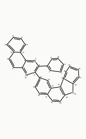 c1ccc(-c2nc3c(ccc4ccccc43)nc2-c2ccc3ccc4sc5ccccc5c4c3c2)cc1